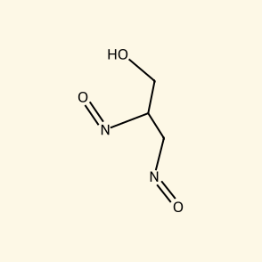 O=NCC(CO)N=O